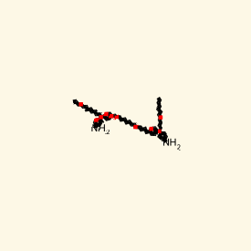 CCCCCCCCCCCCC(c1ccc(N)cc1)c1ccc(CCCCCCCCCCCCCCc2ccc(C(CCCCCCCCCCCC)c3ccc(N)cc3)cc2)cc1